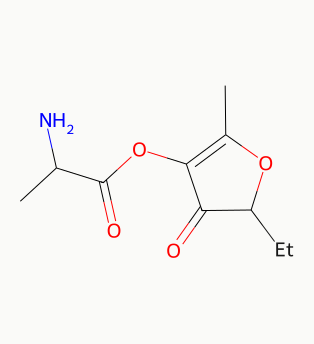 CCC1OC(C)=C(OC(=O)C(C)N)C1=O